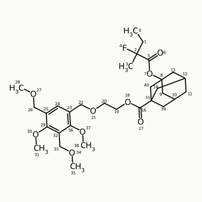 CCC(C)(F)C(=O)OC12CC3CC(C1)CC(C(=O)OCCOCc1cc(COC)c(OC)c(COC)c1OC)(C3)C2